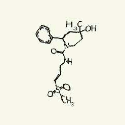 CC1(O)CCN(C(=O)NC/C=C/S(C)(=O)=O)C(c2ccccc2)C1